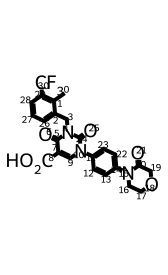 Cc1c(Cn2c(=O)c(C(=O)O)cn(-c3ccc(N4CCOCC4=O)cc3)c2=O)cccc1C(F)(F)F